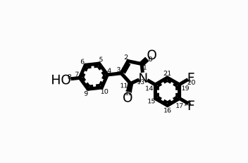 O=C1C=C(c2ccc(O)cc2)C(=O)N1c1ccc(F)c(F)c1